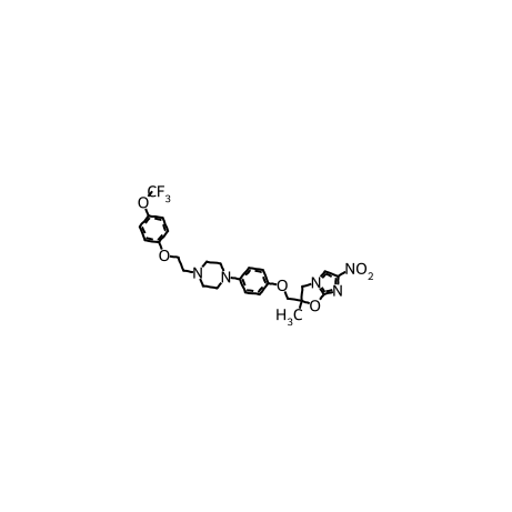 CC1(COc2ccc(N3CCN(CCOc4ccc(OC(F)(F)F)cc4)CC3)cc2)Cn2cc([N+](=O)[O-])nc2O1